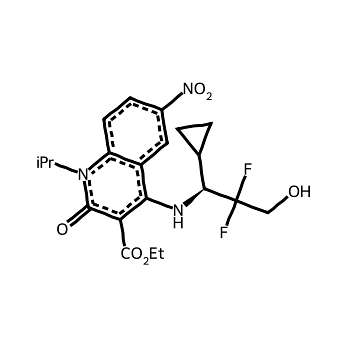 CCOC(=O)c1c(N[C@@H](C2CC2)C(F)(F)CO)c2cc([N+](=O)[O-])ccc2n(C(C)C)c1=O